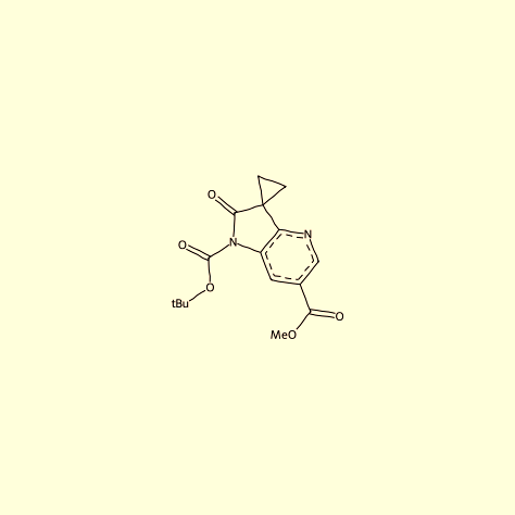 COC(=O)c1cnc2c(c1)N(C(=O)OC(C)(C)C)C(=O)C21CC1